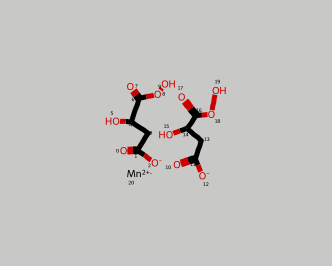 O=C([O-])CC(O)C(=O)OO.O=C([O-])CC(O)C(=O)OO.[Mn+2]